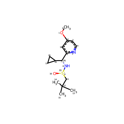 COc1ccnc([C@H](N[S@+]([O-])CC(C)(C)C)C2CC2)c1